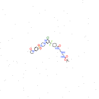 CC(C)(C)OC(=O)NCCNCCNC(=O)[C@H]1CC[C@H](C(F)(F)c2cc(Cl)nc(N3CCN(S(=O)(=O)c4ccc(N5CCCC5=O)cc4)CC3)c2)CC1